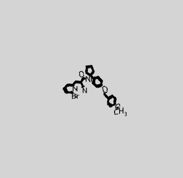 COc1ccc(COc2ccc(C3(NC(=O)/C(C#N)=C/c4cccc(Br)n4)CCCC3)cc2)cc1